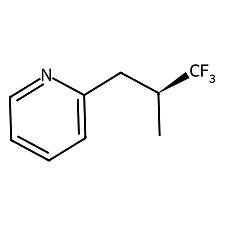 C[C@@H](Cc1ccccn1)C(F)(F)F